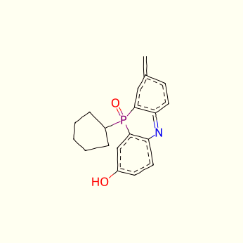 C=c1ccc2c(c1)P(=O)(C1CCCCC1)c1cc(O)ccc1N=2